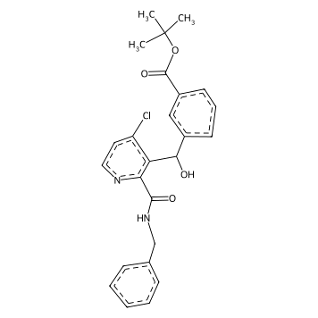 CC(C)(C)OC(=O)c1cccc(C(O)c2c(Cl)ccnc2C(=O)NCc2ccccc2)c1